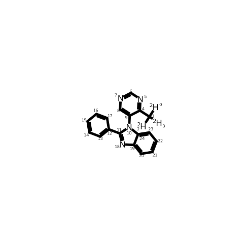 [2H]C([2H])([2H])c1ncncc1-n1c(-c2ccccc2)nc2ccccc21